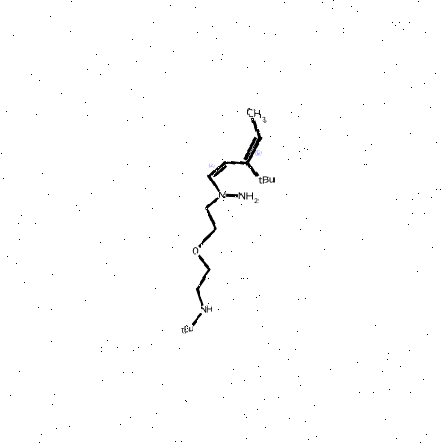 C/C=C(\C=C/N(N)CCOCCNC(C)(C)C)C(C)(C)C